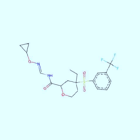 CCC1(S(=O)(=O)c2cccc(C(F)(F)F)c2)CCOC(C(=O)NC=NOC2CC2)C1